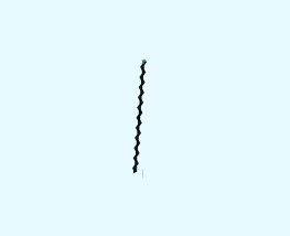 CCCCCCCCCCCCCCCCCCCCCCCCl